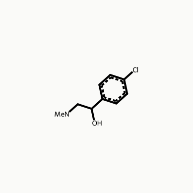 CNCC(O)c1ccc(Cl)cc1